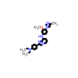 CCN(CC)c1ccc(-c2cn3cccc(Nc4ccc(-n5cnc(C)c5)c(OC)c4)c3n2)cc1